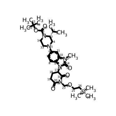 CC(C)[C@@H]1CN(c2ccc3c(c2)n(C)c(=O)n3C2CCC(=O)N(COCC[Si](C)(C)C)C2=O)CCN1C(=O)OC(C)(C)C